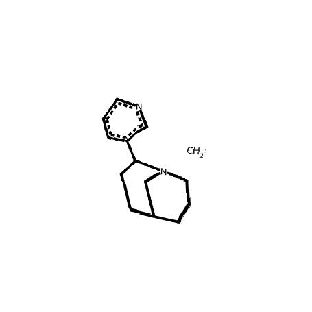 [CH2].c1cncc(C2CCC3CCCN2C3)c1